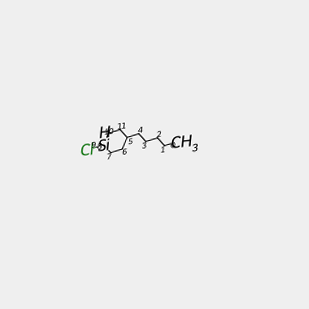 CCCCCC1CC[SiH](Cl)CC1